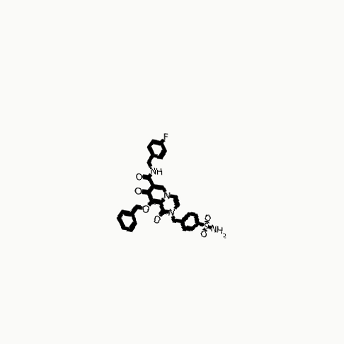 NS(=O)(=O)c1ccc(Cn2ccn3cc(C(=O)NCc4ccc(F)cc4)c(=O)c(OCc4ccccc4)c3c2=O)cc1